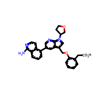 Nc1nccc2c(-c3cnc4c(c3)c(COc3ccccc3CC(=O)O)cn4C3CCOC3)cccc12